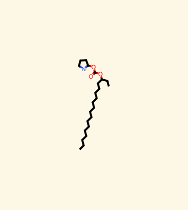 CCCCCCCCCCCCCCCC(CC)OC(=O)OC1CCC[N]1